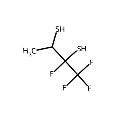 CC(S)C(F)(S)C(F)(F)F